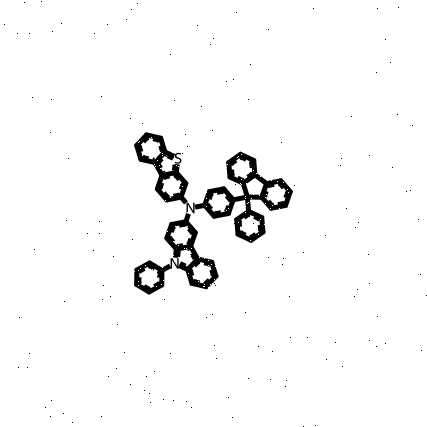 c1ccc(-n2c3ccccc3c3cc(N(c4ccc(C5(c6ccccc6)c6ccccc6-c6ccccc65)cc4)c4ccc5c(c4)sc4ccccc45)ccc32)cc1